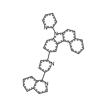 c1ccc(-n2c3ccc(-c4ccc(-c5nccc6ccccc56)cn4)cc3c3c4ccccc4ccc32)nc1